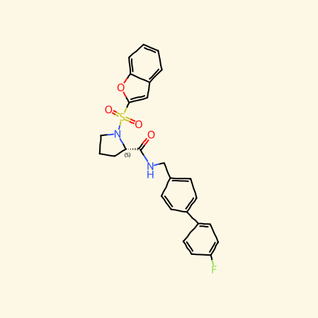 O=C(NCc1ccc(-c2ccc(F)cc2)cc1)[C@@H]1CCCN1S(=O)(=O)c1cc2ccccc2o1